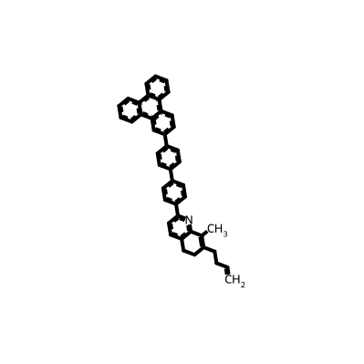 C=CCCC1=C(C)c2nc(-c3ccc(-c4ccc(-c5ccc6c7ccccc7c7ccccc7c6c5)cc4)cc3)ccc2CC1